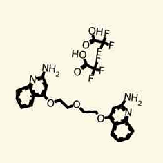 Nc1cc(OCCOCCOc2cc(N)nc3ccccc23)c2ccccc2n1.O=C(O)C(F)(F)F.O=C(O)C(F)(F)F